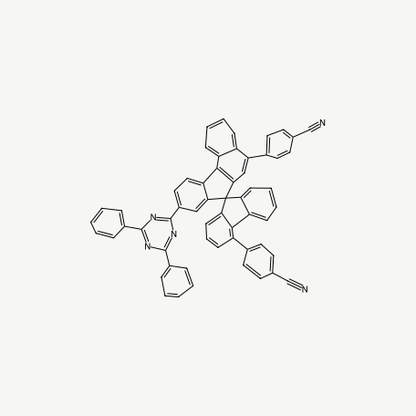 N#Cc1ccc(-c2cccc3c2-c2ccccc2C32c3cc(-c4nc(-c5ccccc5)nc(-c5ccccc5)n4)ccc3-c3c2cc(-c2ccc(C#N)cc2)c2ccccc32)cc1